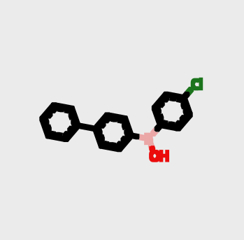 OB(c1ccc(Cl)cc1)c1ccc(-c2ccccc2)cc1